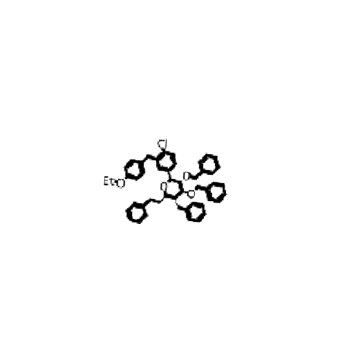 CCOc1ccc(Cc2cc([C@@H]3O[C@H](CCc4ccccc4)[C@@H](Cc4ccccc4)[C@H](OCc4ccccc4)[C@H]3OCc3ccccc3)ccc2Cl)cc1